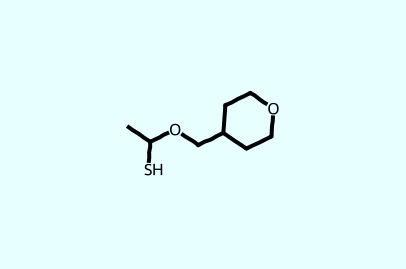 CC(S)OCC1CCOCC1